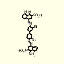 CCc1cc(-c2ccc(/N=N/c3cc(S(=O)(=O)O)c(N)c4ccccc34)c(CC)c2)ccc1/N=N/c1cc(S(=O)(=O)O)c(N)c2ccccc12